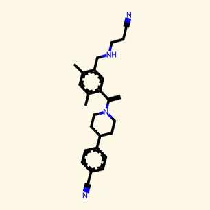 C=C(c1cc(CNCCC#N)c(C)cc1C)N1CCC(c2ccc(C#N)cc2)CC1